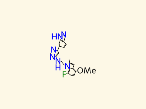 COc1ccc(F)c2c1cc(C)n2CCNc1cc(-c2ccc3cn[nH]c3c2)ncn1